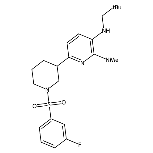 CNc1nc(C2CCCN(S(=O)(=O)c3cccc(F)c3)C2)ccc1NCC(C)(C)C